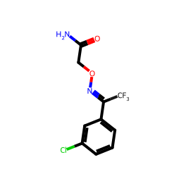 NC(=O)CON=C(c1cccc(Cl)c1)C(F)(F)F